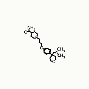 CN(C)CC1(c2ccc(OCCCN3CCC(C(N)=O)CC3)cc2)CCOCC1